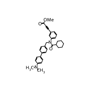 COC(=O)C#Cc1cccc(N(Cc2ccc(-c3ccc(N(C)C)cc3)cc2)C(=O)C2CCCCC2)c1